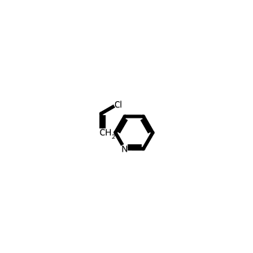 C=CCl.c1ccncc1